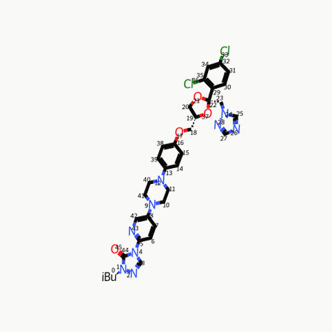 CC[C@H](C)n1ncn(-c2ccc(N3CCN(c4ccc(OC[C@@H]5CO[C@@](Cn6cncn6)(c6ccc(Cl)cc6Cl)O5)cc4)CC3)cn2)c1=O